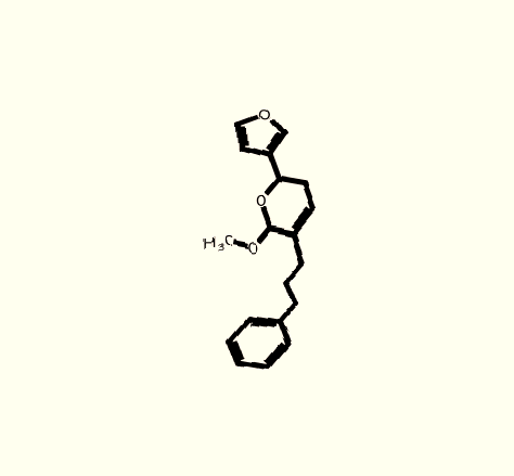 COC1OC(c2ccoc2)CC=C1CCCc1ccccc1